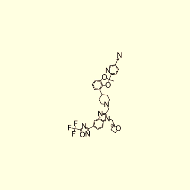 CC1(c2ccc(C#N)cn2)Oc2cccc(C3CCN(Cc4nc5cc(-c6noc(C(F)(F)F)n6)ccc5n4C[C@@H]4CCO4)CC3)c2O1